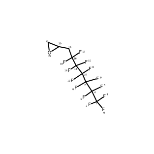 FC(F)(F)C(F)(F)C(F)(F)C(F)(F)C(F)(F)C(F)(F)CC1CO1